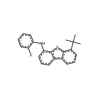 CC(C)(C)c1cccc2c1sc1c(Nc3ccccc3F)cccc12